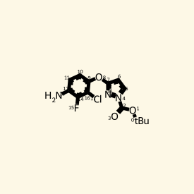 CC(C)(C)OC(=O)n1ccc(Oc2ccc(N)c(F)c2Cl)n1